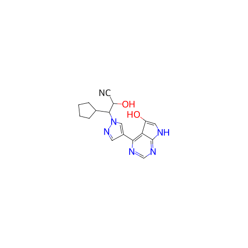 N#CC(O)C(C1CCCC1)n1cc(-c2ncnc3[nH]cc(O)c23)cn1